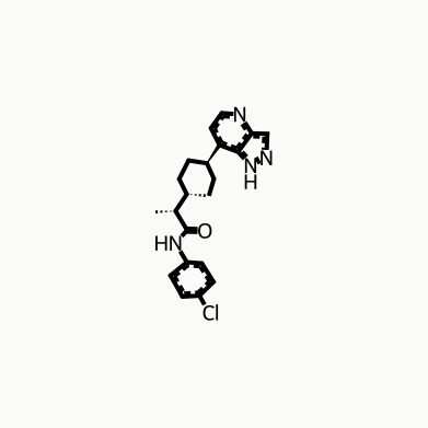 C[C@@H](C(=O)Nc1ccc(Cl)cc1)[C@H]1CC[C@H](c2ccnc3cn[nH]c32)CC1